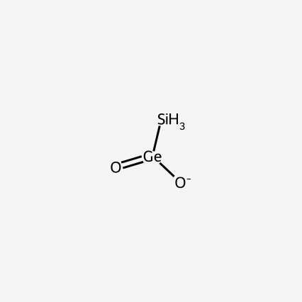 [O]=[Ge]([O-])[SiH3]